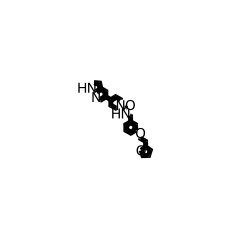 O=C(NCc1cccc(OCCC2CCCO2)c1)N1CC=C(c2cnc3[nH]ccc3c2)CC1